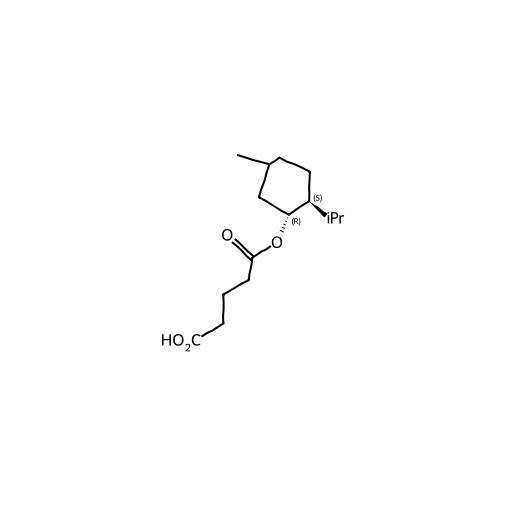 CC1CC[C@@H](C(C)C)[C@H](OC(=O)CCCC(=O)O)C1